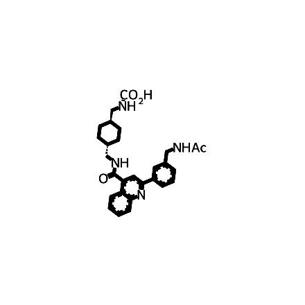 CC(=O)NCc1cccc(-c2cc(C(=O)NC[C@H]3CC[C@H](CNC(=O)O)CC3)c3ccccc3n2)c1